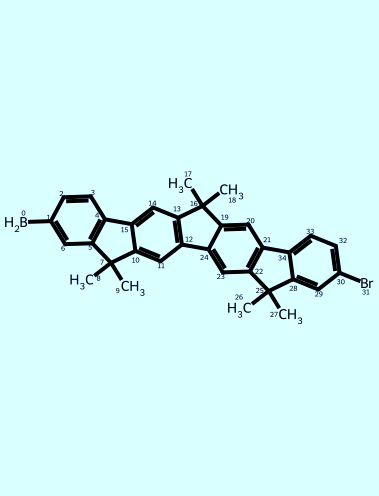 Bc1ccc2c(c1)C(C)(C)c1cc3c(cc1-2)C(C)(C)c1cc2c(cc1-3)C(C)(C)c1cc(Br)ccc1-2